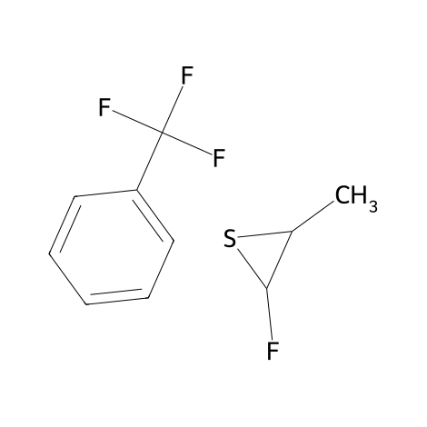 CC1SC1F.FC(F)(F)c1ccccc1